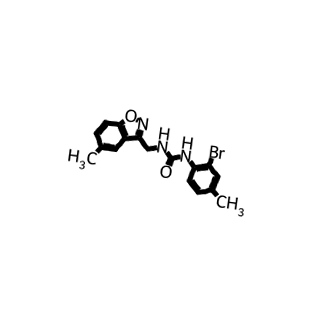 Cc1ccc(NC(=O)NCc2noc3ccc(C)cc23)c(Br)c1